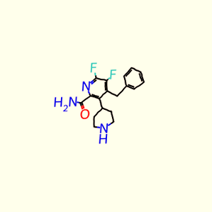 NC(=O)c1nc(F)c(F)c(Cc2ccccc2)c1C1CCNCC1